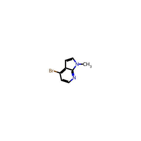 Cn1ccc2c(Br)ccnc21